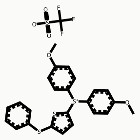 COc1ccc([S+](c2ccc(OC)cc2)c2ccc(Sc3ccccc3)s2)cc1.O=S(=O)([O-])C(F)(F)F